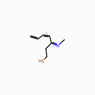 C=C/C=C\C(CCS)=N/C